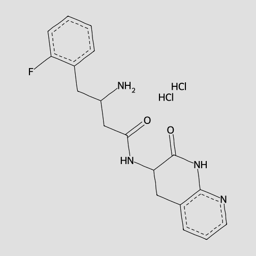 Cl.Cl.NC(CC(=O)NC1Cc2cccnc2NC1=O)Cc1ccccc1F